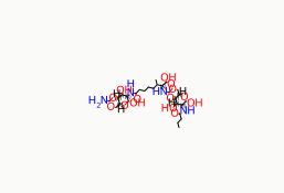 CCCC(=O)N[C@H]1C(O)O[C@@H]2COC(N[C@H](C(=O)O)C(C)CCCCC(=O)N[C@H]3C(O)O[C@@H]4COC(N)O[C@H]4[C@@H]3O)O[C@H]2[C@@H]1O